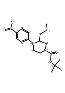 COCC1CN(C(=O)OC(C)(C)C)CCN1c1ccc([N+](=O)[O-])cc1